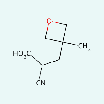 CC1(CC(C#N)C(=O)O)COC1